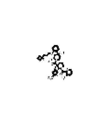 CCC[C@H]1N(C(=O)c2ncccc2C(F)(F)F)CCC[C@@]1(Oc1csc(C(F)(F)F)c1)C(=O)N1CCC(O)(c2ccccc2OCCCC2(C(=O)OCC)CCC2)CC1